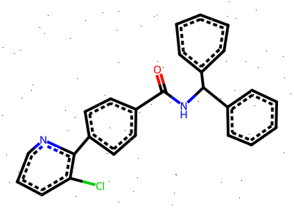 O=C(NC(c1ccccc1)c1ccccc1)c1ccc(-c2ncccc2Cl)cc1